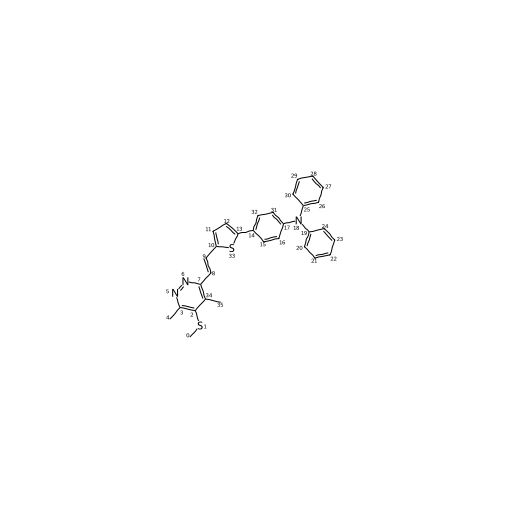 CSc1c(C)nnc(/C=C/c2ccc(-c3ccc(N(c4ccccc4)c4ccccc4)cc3)s2)c1C